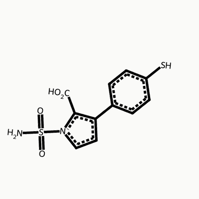 NS(=O)(=O)n1ccc(-c2ccc(S)cc2)c1C(=O)O